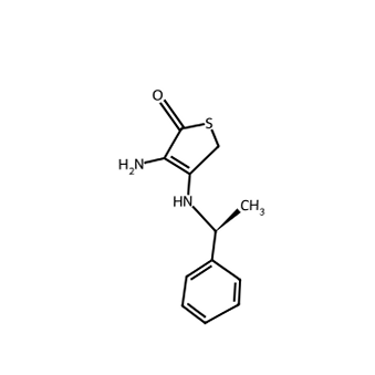 C[C@H](NC1=C(N)C(=O)SC1)c1ccccc1